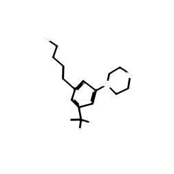 CC(C)(C)c1cc(CCCCN)cc(N2CCNCC2)c1